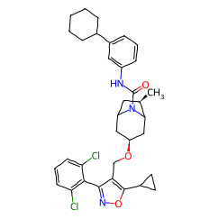 C[C@@H]1CC2C[C@H](OCc3c(-c4c(Cl)cccc4Cl)noc3C3CC3)CC1N2C(=O)Nc1cccc(C2CCCCC2)c1